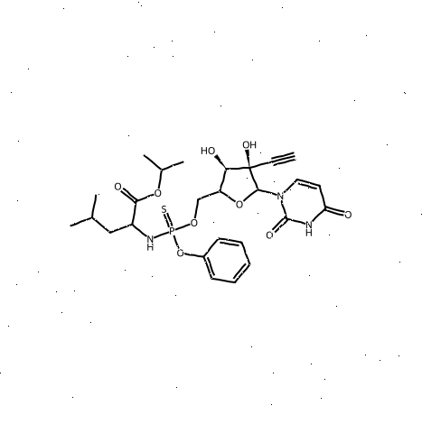 C#C[C@]1(O)C(n2ccc(=O)[nH]c2=O)OC(COP(=S)(NC(CC(C)C)C(=O)OC(C)C)Oc2ccccc2)[C@H]1O